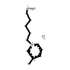 CCCCCCCCCCCC[n+]1cccc(C)c1.[Cl-]